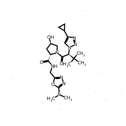 CN(C)c1nnc(CNC(=O)[C@@H]2C[C@@H](O)CN2C(=O)[C@@H](n2cc(C3CC3)nn2)C(C)(C)C)o1